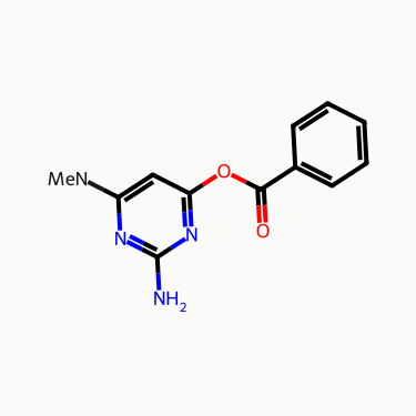 CNc1cc(OC(=O)c2ccccc2)nc(N)n1